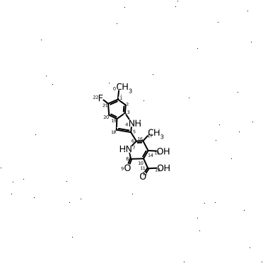 Cc1cc2[nH]c(-c3[nH]c(=O)c(C(=O)O)c(O)c3C)cc2cc1F